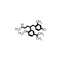 CNCCC(Cc1ccc(Cl)cc1C)c1cc(C(C)C)ccc1OC